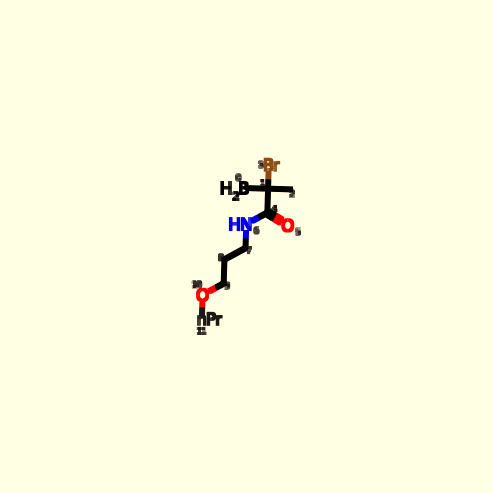 BC(C)(Br)C(=O)NCCCOCCC